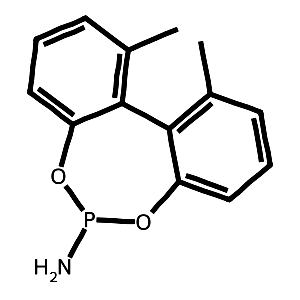 Cc1cccc2op(N)oc3cccc(C)c3c12